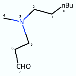 CCCCCCN(C)CCC=O